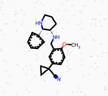 COc1ccc(C2(C#N)CC2)cc1CN[C@H]1CCCN[C@H]1c1ccccc1